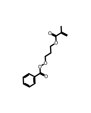 C=C(C)C(=O)OCCCOOC(=O)c1ccccc1